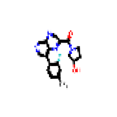 O=C(c1cnc2cncc(-c3ccc(C(F)(F)F)cc3F)c2n1)N1CCC(O)C1